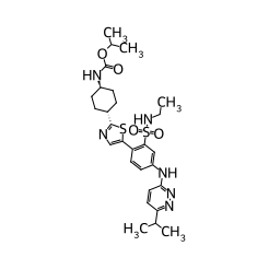 CCNS(=O)(=O)c1cc(Nc2ccc(C(C)C)nn2)ccc1-c1cnc([C@H]2CC[C@H](NC(=O)OC(C)C)CC2)s1